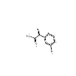 C=C(C(=O)CCCC)c1cccc(F)c1